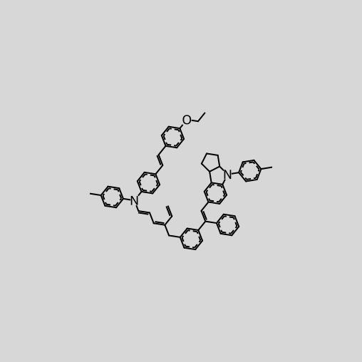 C=C/C(=C\C=C\N(c1ccc(C)cc1)c1ccc(/C=C/c2ccc(OCC)cc2)cc1)Cc1cccc(/C(=C/c2ccc3c(c2)C2CCCC2N3c2ccc(C)cc2)c2ccccc2)c1